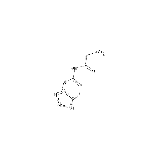 NCC(=O)Nc1ccc2[nH]nnc2c1